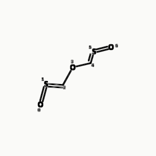 O=S=COC=S=O